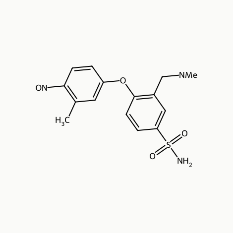 CNCc1cc(S(N)(=O)=O)ccc1Oc1ccc(N=O)c(C)c1